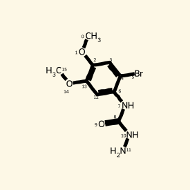 COc1cc(Br)c(NC(=O)NN)cc1OC